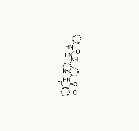 O=C(NNc1ccnc2c(NC(=O)c3c(Cl)cccc3Cl)cccc12)Nc1ccccc1